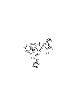 CC[C@H](C)[C@H](NC(C)=O)C(=O)N[C@H]1CCc2cccc3c2N(C1=O)[C@H](C(=O)NCc1cncs1)C3